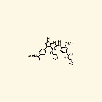 C=C(NC)c1ccc(-c2c[nH]c3nc(Nc4ccc(C(=O)NC5COC5)cc4OC)nc(OC4CCCC4)c23)cc1